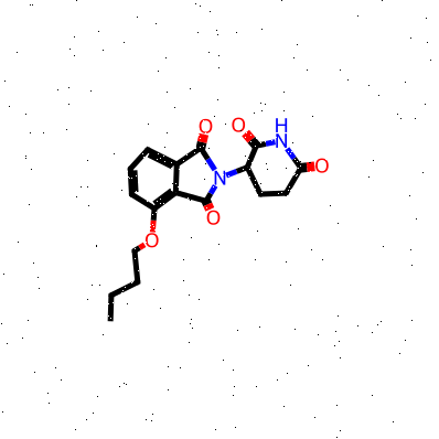 CCCCOc1cccc2c1C(=O)N(C1CCC(=O)NC1=O)C2=O